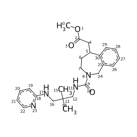 COC(=O)CC1CCN(C(=O)NCC(C)(C)CNc2ccccn2)Cc2ccccc21